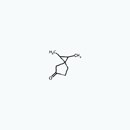 CC1C(C)C12CCC(=O)C2